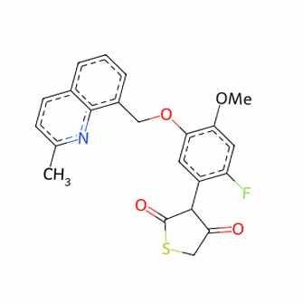 COc1cc(F)c(C2C(=O)CSC2=O)cc1OCc1cccc2ccc(C)nc12